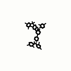 Cc1ccc(N(c2ccc(-c3ccc4c(c3)c3cc5c(cc3n4-c3ccc(C)cc3C)C(C)(C)c3cc(C)cc(C)c3-5)cc2)c2ccc(C)cc2C)c(C)c1